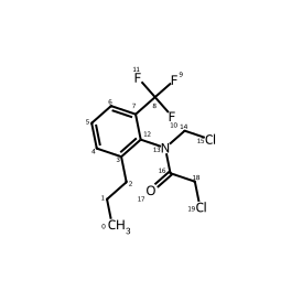 CCCc1cccc(C(F)(F)F)c1N(CCl)C(=O)CCl